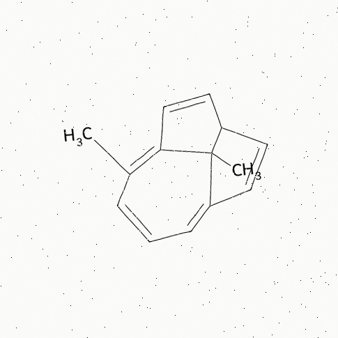 CC1=C2C=CC3C=CC(=CC=C1)C23C